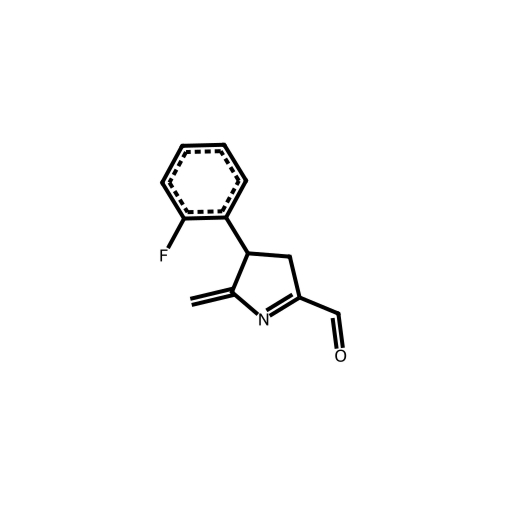 C=C1N=C(C=O)CC1c1ccccc1F